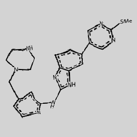 CSc1ncc(-c2ccc3nc(Nc4cc(CN5CCNCC5)ccn4)[nH]c3c2)cn1